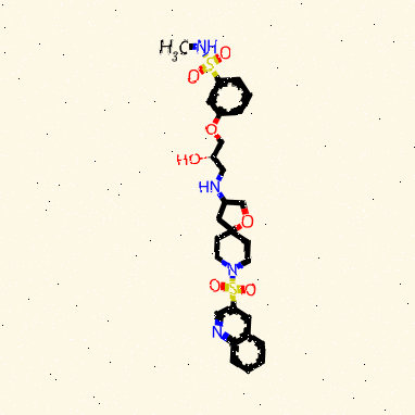 CNS(=O)(=O)c1cccc(OC[C@@H](O)CNC2COC3(CCN(S(=O)(=O)c4cnc5ccccc5c4)CC3)C2)c1